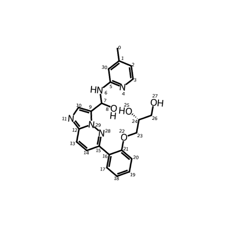 Cc1ccnc(NC(O)c2cnc3ccc(-c4ccccc4OC[C@H](O)CO)nn23)c1